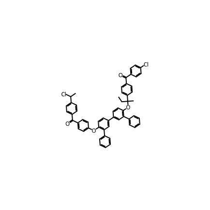 CCC(C)(Oc1ccc(-c2ccc(Oc3ccc(C(=O)c4ccc(C(C)Cl)cc4)cc3)c(-c3ccccc3)c2)cc1-c1ccccc1)c1ccc(C(=O)c2ccc(Cl)cc2)cc1